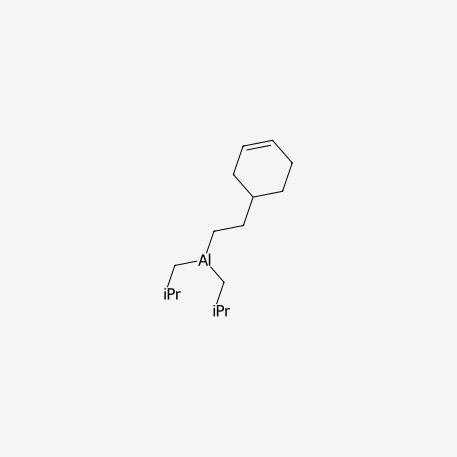 CC(C)[CH2][Al]([CH2]CC1CC=CCC1)[CH2]C(C)C